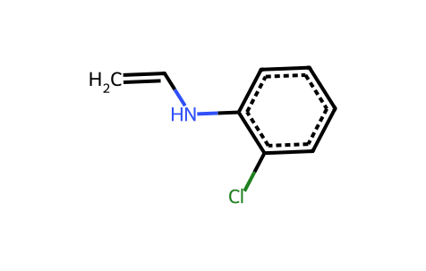 C=CNc1ccccc1Cl